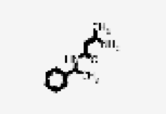 CC(N)=CC(=O)NC(C)c1ccccc1